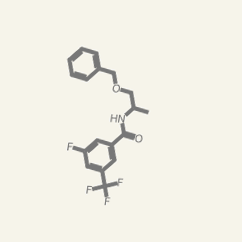 CC(COCc1ccccc1)NC(=O)c1cc(F)cc(C(F)(F)F)c1